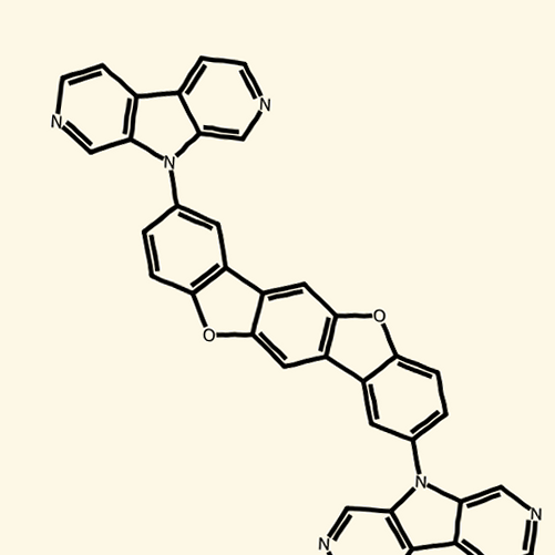 c1cc2c3ccncc3n(-c3ccc4oc5cc6c(cc5c4c3)oc3ccc(-n4c5cnccc5c5ccncc54)cc36)c2cn1